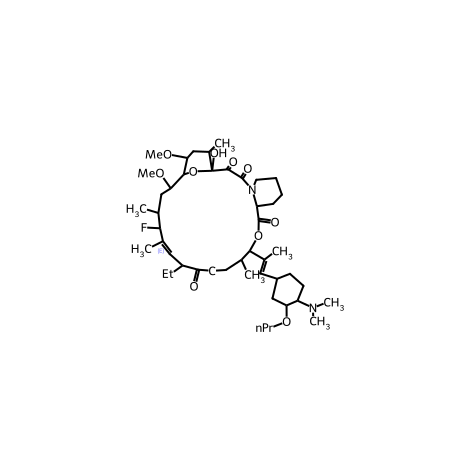 CCCOC1CC(C=C(C)C2OC(=O)C3CCCCN3C(=O)C(=O)C3(O)OC(C(OC)CC(C)C(F)/C(C)=C/C(CC)C(=O)CCC2C)C(OC)CC3C)CCC1N(C)C